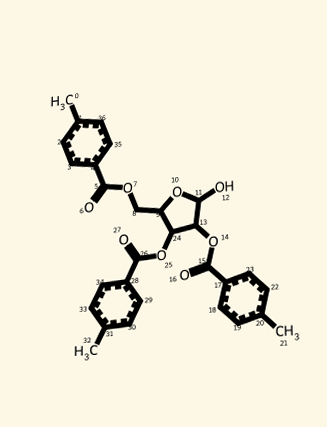 Cc1ccc(C(=O)OCC2OC(O)C(OC(=O)c3ccc(C)cc3)C2OC(=O)c2ccc(C)cc2)cc1